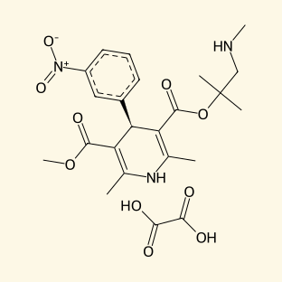 CNCC(C)(C)OC(=O)C1=C(C)NC(C)=C(C(=O)OC)[C@H]1c1cccc([N+](=O)[O-])c1.O=C(O)C(=O)O